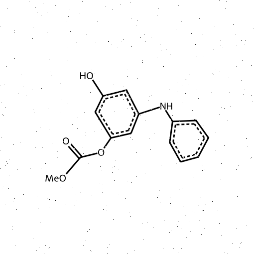 COC(=O)Oc1cc(O)cc(Nc2ccccc2)c1